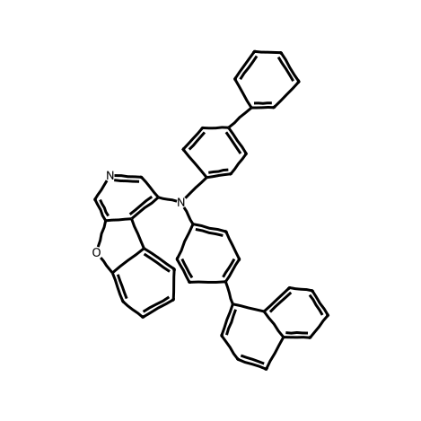 c1ccc(-c2ccc(N(c3ccc(-c4cccc5ccccc45)cc3)c3cncc4oc5ccccc5c34)cc2)cc1